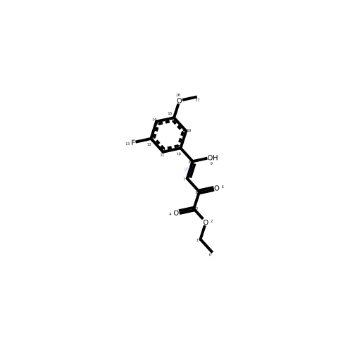 CCOC(=O)C(=O)/C=C(\O)c1cc(F)cc(OC)c1